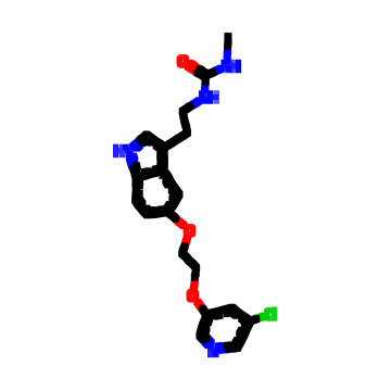 CNC(=O)NCCc1c[nH]c2ccc(OCCOc3cncc(Cl)c3)cc12